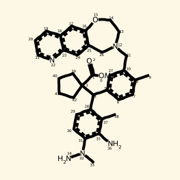 COC(=O)C1(C(c2ccc(C)c(CN3CCOc4cc5cccnc5cc4C3)c2)c2ccc(N(C)N)c(N)c2C)CCCC1